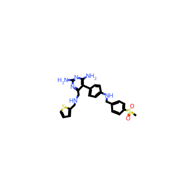 CS(=O)(=O)c1ccc(CNc2ccc(-c3c(N)nc(N)nc3CNCc3cccs3)cc2)cc1